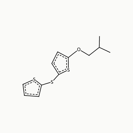 CC(C)COc1ccc(Sc2cccs2)s1